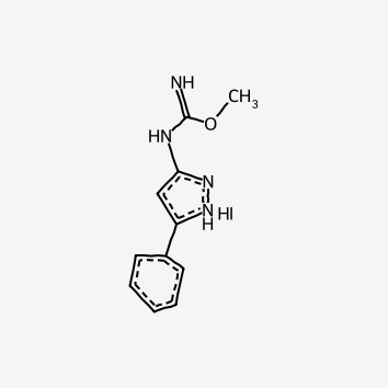 COC(=N)Nc1cc(-c2ccccc2)[nH]n1.I